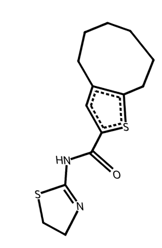 O=C(NC1=NCCS1)c1cc2c(s1)CCCCCC2